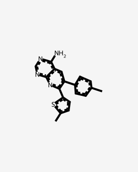 Cc1ccc(-c2cc3c(N)ncnc3nc2-c2ccc(C)s2)cc1